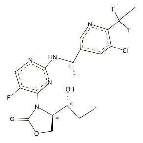 CC[C@@H](O)[C@H]1COC(=O)N1c1nc(N[C@@H](C)c2cnc(C(C)(F)F)c(Cl)c2)ncc1F